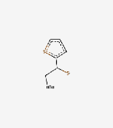 CCCCCC([S])c1cccs1